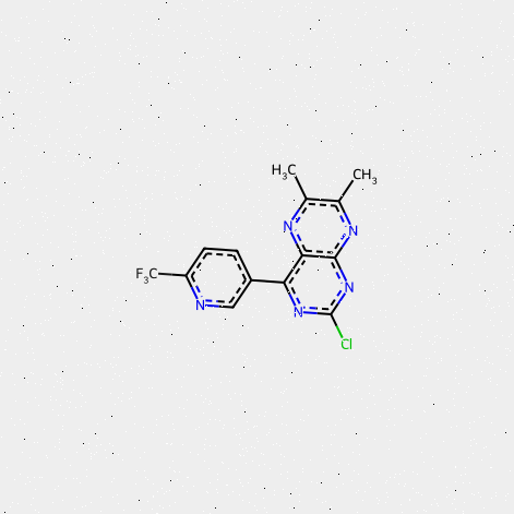 Cc1nc2nc(Cl)nc(-c3ccc(C(F)(F)F)nc3)c2nc1C